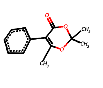 CC1=C(c2ccccc2)C(=O)OC(C)(C)O1